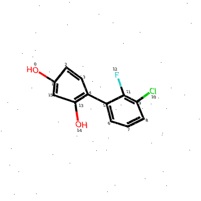 Oc1ccc(-c2cccc(Cl)c2F)c(O)c1